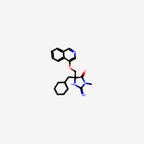 CN1C(=N)NC(COc2cncc3ccccc23)(CC2CCCCC2)C1=O